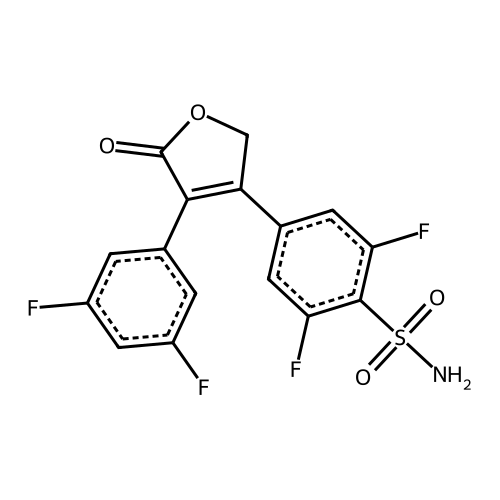 NS(=O)(=O)c1c(F)cc(C2=C(c3cc(F)cc(F)c3)C(=O)OC2)cc1F